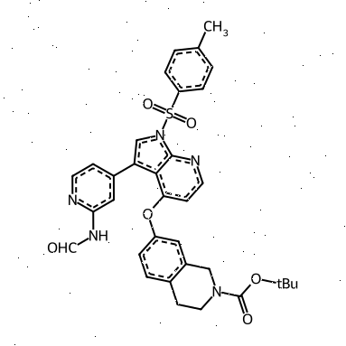 Cc1ccc(S(=O)(=O)n2cc(-c3ccnc(NC=O)c3)c3c(Oc4ccc5c(c4)CN(C(=O)OC(C)(C)C)CC5)ccnc32)cc1